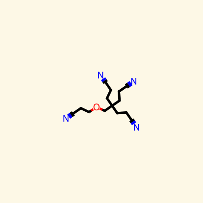 N#CCCOCC(CCC#N)(CCC#N)CCC#N